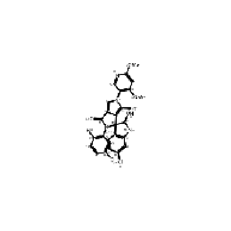 COc1cc(OC)c(-n2cc3c(c2C(C)C)C2(c4ccc(Cl)cc4NC2O)N(c2cc(Cl)ccc2F)C3=O)cn1